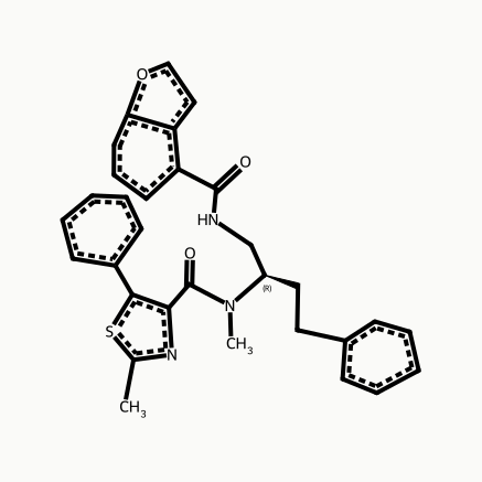 Cc1nc(C(=O)N(C)[C@H](CCc2ccccc2)CNC(=O)c2cccc3occc23)c(-c2ccccc2)s1